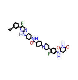 O=C1CCC(Nc2ccc(C3CCN([C@H]4CC[C@H](C(=O)NC5CCC(Nc6ncc(F)c(-c7cccc(C8CC8)c7)n6)CC5)CC4)CC3)c(F)c2)C(=O)N1